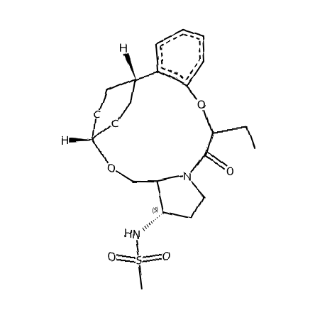 CCC1Oc2ccccc2[C@H]2CC[C@H](CC2)OCC2[C@@H](NS(C)(=O)=O)CCN2C1=O